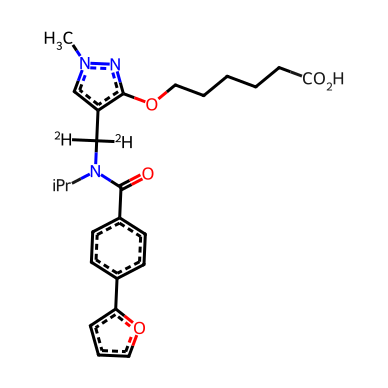 [2H]C([2H])(c1cn(C)nc1OCCCCCC(=O)O)N(C(=O)c1ccc(-c2ccco2)cc1)C(C)C